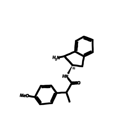 COc1ccc(C(C)C(=O)N[C@H]2Cc3ccccc3C2N)cc1